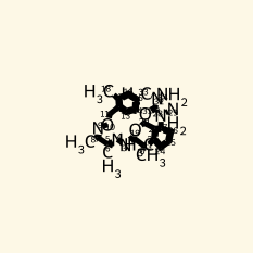 CCC(=NN=C(C)C(C)=NOCc1ccccc1C)OCc1c(C)cccc1N(N)C(=O)N(C)N